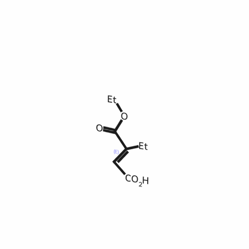 CCOC(=O)/C(=C/C(=O)O)CC